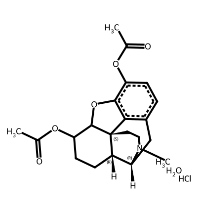 CC(=O)Oc1ccc2c3c1OC1C(OC(C)=O)CC[C@H]4[C@@H](C2)N(C)CC[C@]314.Cl.O